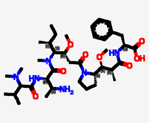 CC[C@H](C)[C@@H]([C@@H](CC(=O)N1CCC[C@H]1[C@H](OC)[C@@H](C)C(=O)N[C@@H](Cc1ccccc1)C(=O)O)OC)N(C)C(=O)[C@H](NC(=O)C(C(C)C)N(C)C)[C@H](C)N